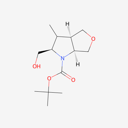 CC1[C@H]2COC[C@H]2N(C(=O)OC(C)(C)C)[C@H]1CO